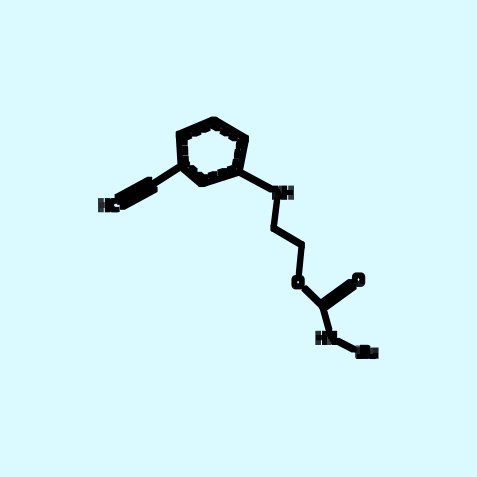 C#Cc1cccc(NCCOC(=O)NC(C)(C)C)c1